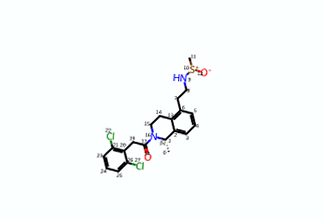 C[C@H]1c2cccc(CCN[S+](C)[O-])c2CCN1C(=O)Cc1c(Cl)cccc1Cl